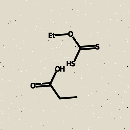 CCC(=O)O.CCOC(=S)S